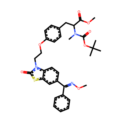 CON=C(c1ccccc1)c1ccc2c(c1)sc(=O)n2CCOc1ccc(CC(C(=O)OC)N(C)C(=O)OC(C)(C)C)cc1